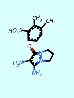 Cc1cccc(S(=O)(=O)O)c1C.Nc1c(N)n2n(c1=O)CCC2